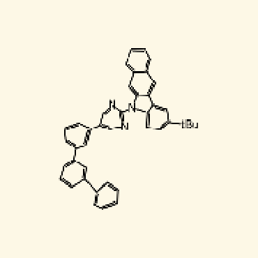 CC(C)(C)c1ccc2c(c1)c1cc3ccccc3cc1n2-c1ncc(-c2cccc(-c3cccc(-c4ccccc4)c3)c2)cn1